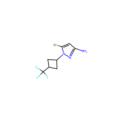 Nc1cc(Br)n(C2CC(C(F)(F)F)C2)n1